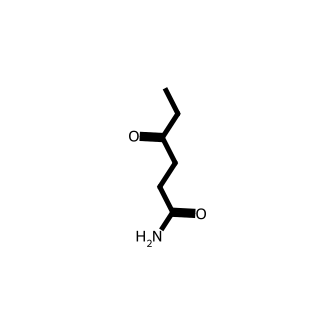 CCC(=O)CCC(N)=O